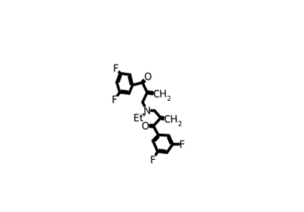 C=C(CN(CC)CC(=C)C(=O)c1cc(F)cc(F)c1)C(=O)c1cc(F)cc(F)c1